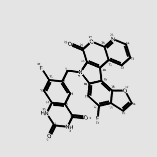 O=c1[nH]c(=O)c2cc(Cn3c4cc(F)c5ccoc5c4c4c5cccnc5oc(=O)c43)c(F)cc2[nH]1